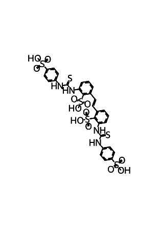 O=S(=O)(O)c1ccc(NC(=S)Nc2cccc(C=Cc3cccc(NC(=S)Nc4ccc(S(=O)(=O)O)cc4)c3S(=O)(=O)O)c2S(=O)(=O)O)cc1